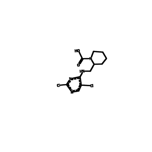 O=C(O)N1CCCCC1CNc1nc(Cl)ncc1Cl